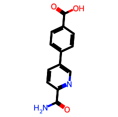 NC(=O)c1ccc(-c2ccc(C(=O)O)cc2)cn1